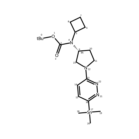 CC(C)(C)OC(=O)N(C1CCC1)[C@@H]1CCN(c2cc[c]([Sn]([CH3])([CH3])[CH3])nn2)C1